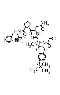 CN(CC(=O)N[C@@H](CC(N)=O)C(=O)N1CCCC1C(=O)N[C@@H](Cc1cnc[nH]1)C(N)=O)C(=O)[C@H](Cc1ccc(OC(C)(C)C)cc1)NC(=O)CCl